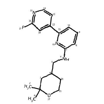 CC1(C)CC(CNc2cccc(-c3ccnc(F)c3)n2)CCO1